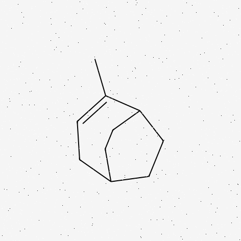 CC1=CCC2CCC1CC2